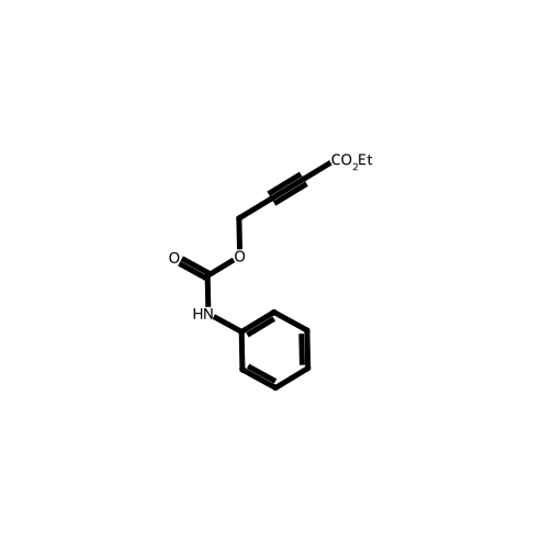 CCOC(=O)C#CCOC(=O)Nc1ccccc1